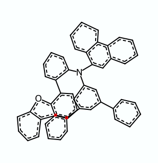 c1ccc(-c2cc(-c3ccccc3)cc(N(c3ccccc3-c3cccc4c3oc3ccccc34)c3cc4ccccc4c4ccccc34)c2)cc1